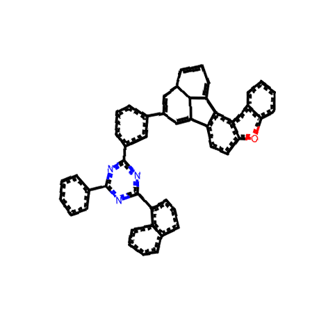 C1=CC2C=C(c3cccc(-c4nc(-c5ccccc5)nc(-c5cccc6ccccc56)n4)c3)C=C3c4ccc5oc6ccccc6c5c4C(=C1)C32